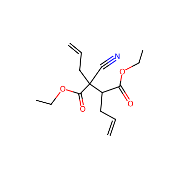 C=CCC(C(=O)OCC)C(C#N)(CC=C)C(=O)OCC